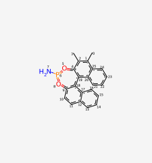 Cc1c(C)c2op(N)oc3ccc4ccccc4c3c2c2ccccc12